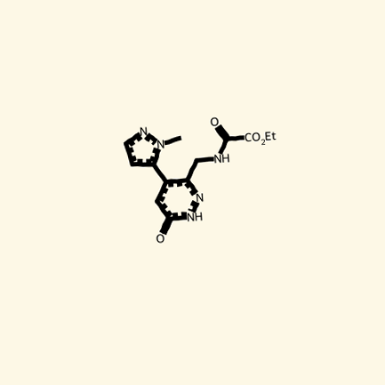 CCOC(=O)C(=O)NCc1n[nH]c(=O)cc1-c1ccnn1C